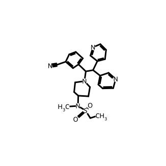 CCS(=O)(=O)N(C)C1CCN(C(c2cccc(C#N)c2)C(c2cccnc2)c2cccnc2)CC1